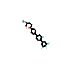 CCCCC1CCC(c2ccc(-c3ccc(-c4cc(F)c(F)c(F)c4)c(F)c3)cc2)OC1